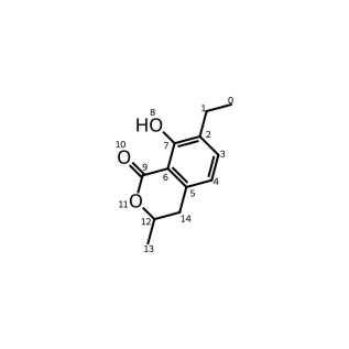 CCc1ccc2c(c1O)C(=O)OC(C)C2